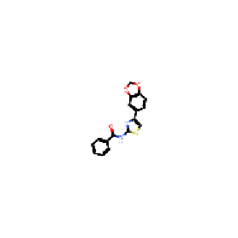 O=C(Nc1nc(-c2ccc3c(c2)OCO3)cs1)c1ccccc1